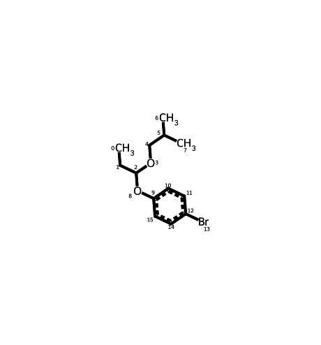 CCC(OCC(C)C)Oc1ccc(Br)cc1